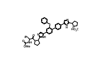 COC(=O)NC(C(=O)N1CCCC1c1ncc(-c2ccc(-c3ccc(-c4cnc(C5CCCN5C(=O)O)[nH]4)cc3)c(Sc3ccccc3)c2)[nH]1)C(C)C